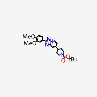 COc1ccc(-c2nc3cc(C4CCN(C(=O)OC(C)(C)C)CC4)ccn3n2)cc1OC